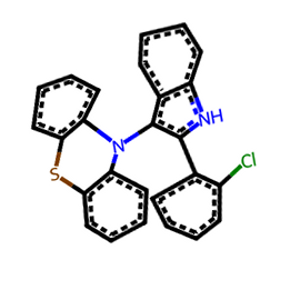 Clc1ccccc1-c1[nH]c2ccccc2c1N1c2ccccc2Sc2ccccc21